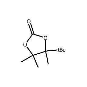 CC(C)(C)C1(C)OC(=O)OC1(C)C